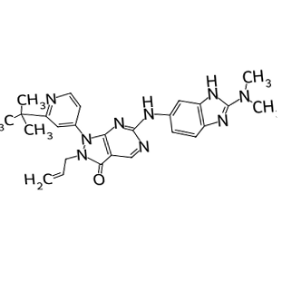 C=CCn1c(=O)c2cnc(Nc3ccc4nc(N(C)C)[nH]c4c3)nc2n1-c1ccnc(C(C)(C)C)c1